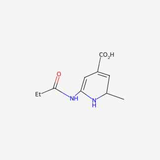 CCC(=O)NC1=CC(C(=O)O)=CC(C)N1